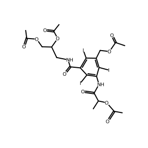 CC(=O)OCc1c(I)c(NC(=O)C(C)OC(C)=O)c(I)c(C(=O)NCC(COC(C)=O)OC(C)=O)c1I